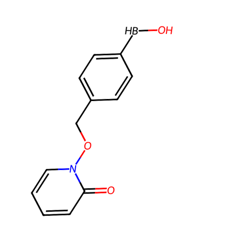 O=c1ccccn1OCc1ccc(BO)cc1